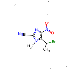 CC(Br)c1c([N+](=O)[O-])nc(C#N)n1C